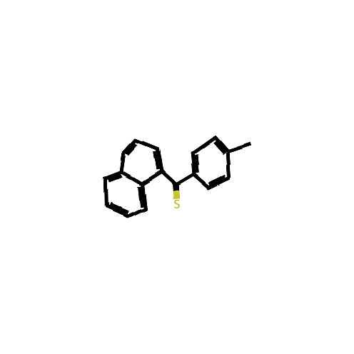 Cc1ccc(C(=S)c2cccc3ccccc23)cc1